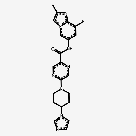 Cc1cn2cc(NC(=O)c3cnc(N4CCC(n5ccnc5)CC4)cn3)cc(F)c2n1